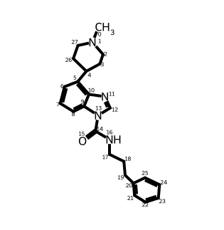 CN1CCC(c2cccc3c2ncn3C(=O)NCCCc2ccccc2)CC1